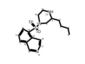 CCCCC1CN(S(=O)(=O)c2cccc3cnccc23)CCN1